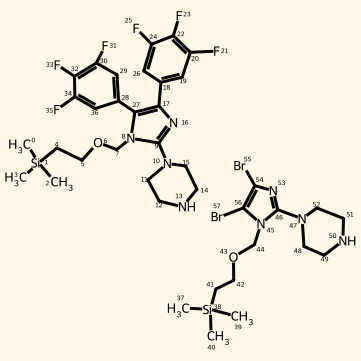 C[Si](C)(C)CCOCn1c(N2CCNCC2)nc(-c2cc(F)c(F)c(F)c2)c1-c1cc(F)c(F)c(F)c1.C[Si](C)(C)CCOCn1c(N2CCNCC2)nc(Br)c1Br